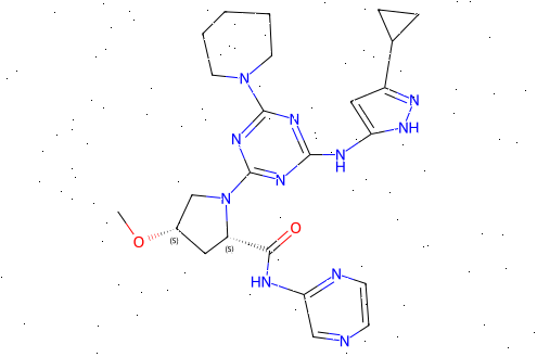 CO[C@H]1C[C@@H](C(=O)Nc2cnccn2)N(c2nc(Nc3cc(C4CC4)n[nH]3)nc(N3CCCCC3)n2)C1